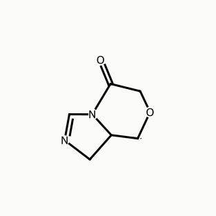 O=C1CO[CH]C2CN=CN12